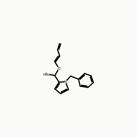 C=CC=COC(CCCC)c1cccn1Cc1ccccc1